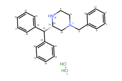 Cl.Cl.c1ccc(CN2CCN[C@@H](C(c3ccccc3)c3ccccc3)C2)cc1